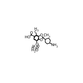 Cc1c(C(=O)O)cc(Cl)c2c1O[C@@](C)(C1CCC(N)CC1)O2.O.O.O